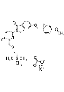 COc1ccc(COc2ccc3c(c2)CN(c2ccc(=O)n(COCC[Si](C)(C)C)n2)C3=O)nc1.O=C([O-])[O-].[K+].[K+]